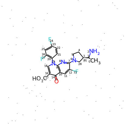 CC(N)[C@@H]1CCN(c2nc3c(cc2F)c(=O)c(C(=O)O)cn3-c2ccc(F)cc2F)C1